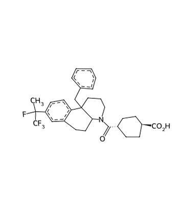 CC(F)(c1ccc2c(c1)CCC1N(C(=O)[C@H]3CC[C@H](C(=O)O)CC3)CCCC21Cc1ccccc1)C(F)(F)F